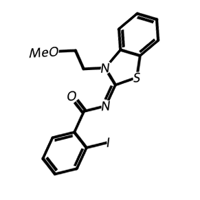 COCCn1c(=NC(=O)c2ccccc2I)sc2ccccc21